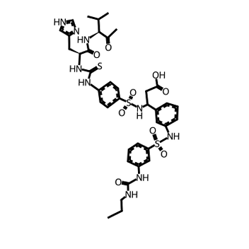 CCCNC(=O)Nc1cccc(S(=O)(=O)Nc2cccc(C(CC(=O)O)NS(=O)(=O)c3ccc(NC(=S)N[C@@H](Cc4c[nH]cn4)C(=O)N[C@H](C(C)=O)C(C)C)cc3)c2)c1